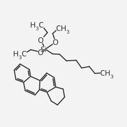 CCCCCCCC[Si](OCC)(OCC)OCC.c1ccc2c(c1)ccc1c3c(ccc12)CCCC3